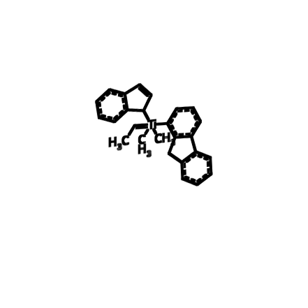 C[CH]=[Ti]([CH3])([CH3])([c]1cccc2c1Cc1ccccc1-2)[CH]1C=Cc2ccccc21